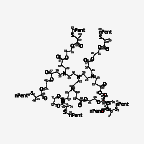 CCCCCSC(C)C(=O)OCCOC(=O)CCN(CCC(=O)OCCOC(=O)C(C)SCCCCC)CCN(CCN(CCC(=O)OCCOC(=O)C(C)SCCCCC)CCC(=O)OCCOC(=O)C(C)SCCCCC)CCN(CCC(=O)OCCOC(=O)C(C)SCCCCC)CCC(=O)OCCOC(=O)C(C)SCCCCC